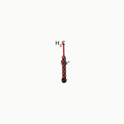 CCCCCCCCCCCCCCCCCCCCCCOCCOCCOCCOCCOCCOCCOCCOCCOCCOCCOCCOS(=O)(=O)[O-].[Na+]